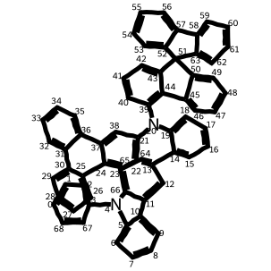 c1ccc(-n2c3ccccc3c3cc(-c4ccccc4N(c4ccc5c6ccccc6c6ccccc6c5c4)c4cccc5c4-c4ccccc4C54c5ccccc5-c5ccccc54)ccc32)cc1